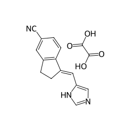 N#Cc1ccc2c(c1)CC/C2=C\c1cnc[nH]1.O=C(O)C(=O)O